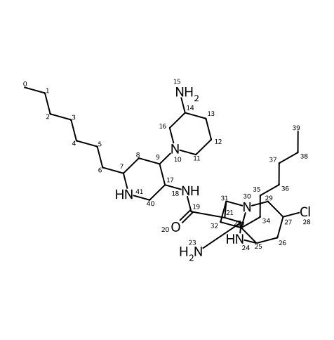 CCCCCCCC1CC(N2CCCC(N)C2)C(NC(=O)C2C(N)NC3CC(Cl)CN4C2CC34CCCCCC)CN1